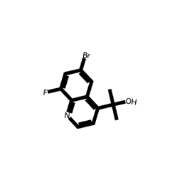 CC(C)(O)c1ccnc2c(F)cc(Br)cc12